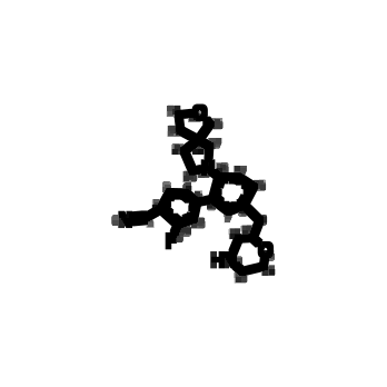 N#Cc1ccc(-c2cc(CC3CNCCO3)ccc2N2CCC3(CCOC3)C2)cc1F